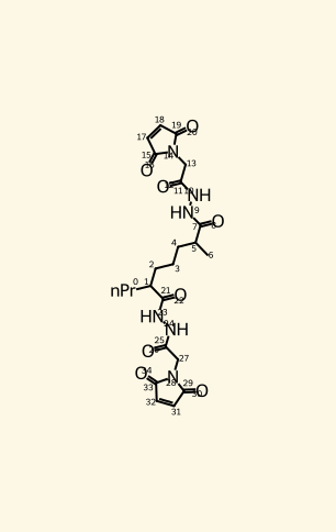 CCCC(CCCC(C)C(=O)NNC(=O)CN1C(=O)C=CC1=O)C(=O)NNC(=O)CN1C(=O)C=CC1=O